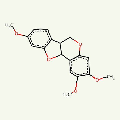 COc1ccc2c(c1)OC1c3cc(OC)c(OC)cc3OCC21